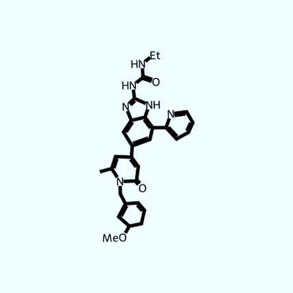 CCNC(=O)Nc1nc2cc(-c3cc(C)n(CC4=CC(OC)CC=C4)c(=O)c3)cc(-c3ccccn3)c2[nH]1